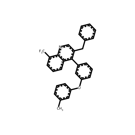 Cc1cccc(Oc2cccc(-c3c(Cc4ccccc4)cnc4c(C(F)(F)F)cccc34)c2)c1